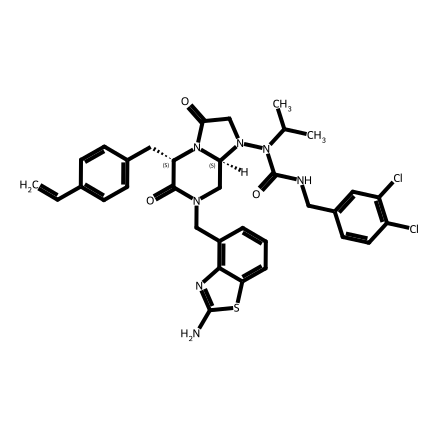 C=Cc1ccc(C[C@H]2C(=O)N(Cc3cccc4sc(N)nc34)C[C@H]3N2C(=O)CN3N(C(=O)NCc2ccc(Cl)c(Cl)c2)C(C)C)cc1